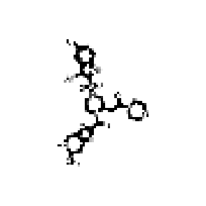 CC(=O)c1c(S(=O)(=O)N2CCN(C(=O)c3nc4c(o3)CNC(C)C4)C(CC(=O)N3CCOCC3)C2)[nH]c2ccc(Cl)cc12